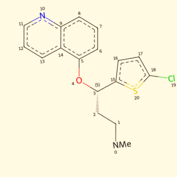 CNCC[C@H](Oc1cccc2ncccc12)c1ccc(Cl)s1